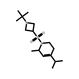 CC(C)C1=CC(C)N(S(=O)(=O)C2CN(C(C)(C)C)C2)CC1